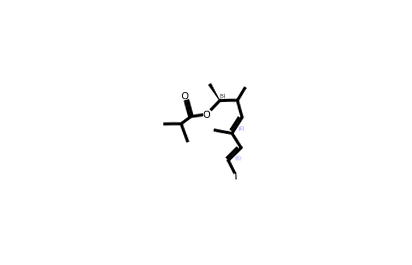 CC(/C=C/I)=C\C(C)[C@H](C)OC(=O)C(C)C